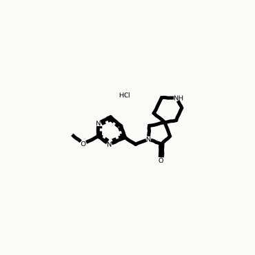 COc1nccc(CN2CC3(CCNCC3)CC2=O)n1.Cl